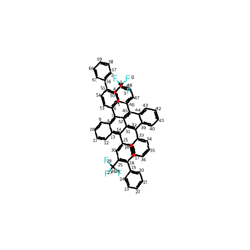 FC(F)(F)c1cc(-c2c3ccccc3c(-c3ccc(-c4ccccc4)c(C(F)(F)F)c3)c3c(-c4ccccc4)c4ccccc4c(-c4ccccc4)c23)ccc1-c1ccccc1